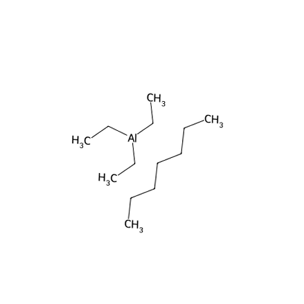 CCCCCCC.C[CH2][Al]([CH2]C)[CH2]C